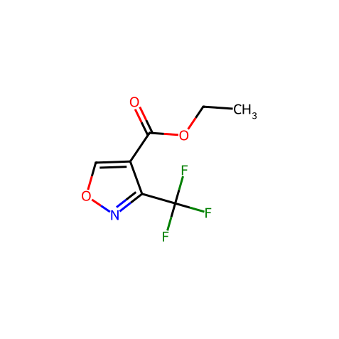 CCOC(=O)c1conc1C(F)(F)F